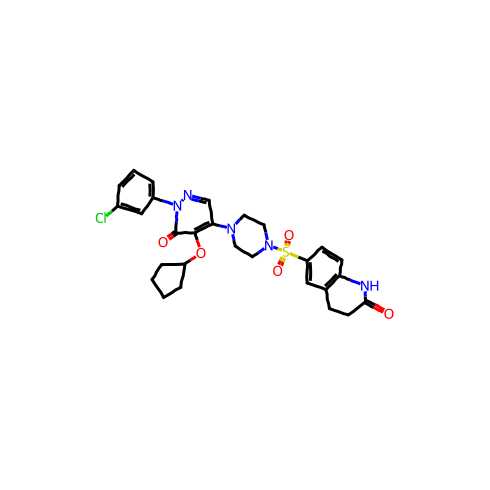 O=C1CCc2cc(S(=O)(=O)N3CCN(c4cnn(-c5cccc(Cl)c5)c(=O)c4OC4CCCC4)CC3)ccc2N1